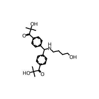 CC(C)(O)C(=O)c1ccc(C(NCCCCO)c2ccc(C(=O)C(C)(C)O)cc2)cc1